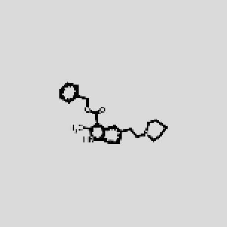 Cc1[nH]c2ccc(CCN3CCCCC3)cc2c1C(=O)OCc1ccccc1